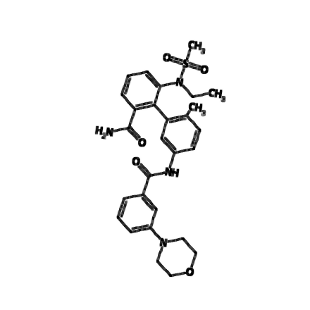 CCN(c1cccc(C(N)=O)c1-c1cc(NC(=O)c2cccc(N3CCOCC3)c2)ccc1C)S(C)(=O)=O